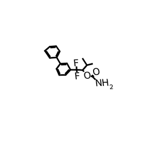 CC(C)C(OC(N)=O)C(F)(F)c1cccc(-c2ccccc2)c1